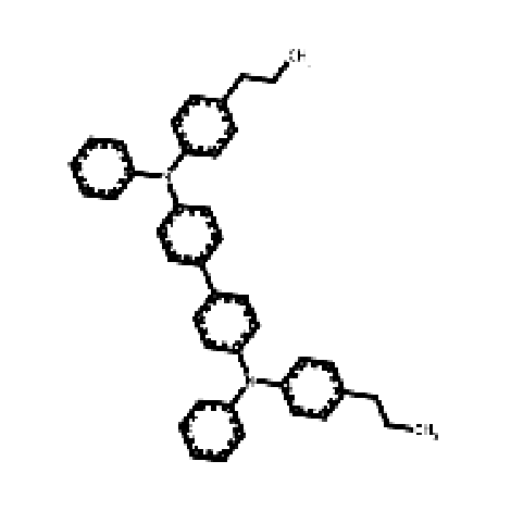 CCCc1ccc(N(c2ccccc2)c2ccc(-c3ccc(N(c4ccccc4)c4ccc(CCC)cc4)cc3)cc2)cc1